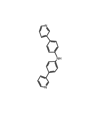 c1cncc(-c2ccc(Nc3ccc(-c4cccnc4)cc3)cc2)c1